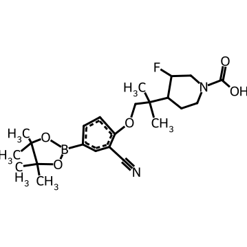 CC(C)(COc1ccc(B2OC(C)(C)C(C)(C)O2)cc1C#N)C1CCN(C(=O)O)CC1F